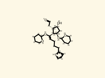 O=CC[C@H]1[C@H](C(=CCCCc2cccs2)OC2CCCCO2)[C@H](OC2CCCCO2)C[C@H]1O